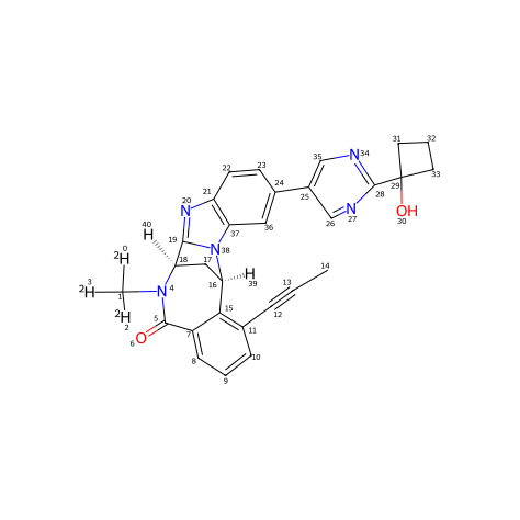 [2H]C([2H])([2H])N1C(=O)c2cccc(C#CC)c2[C@H]2C[C@@H]1c1nc3ccc(-c4cnc(C5(O)CCC5)nc4)cc3n12